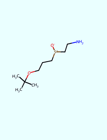 CC(C)(C)OCCC[S+]([O-])CCN